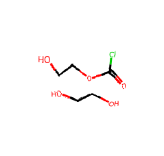 O=C(Cl)OCCO.OCCO